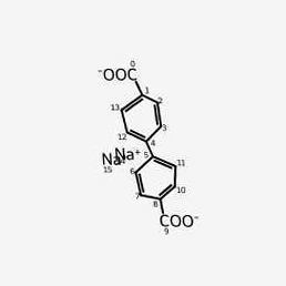 O=C([O-])c1ccc(-c2ccc(C(=O)[O-])cc2)cc1.[Na+].[Na+]